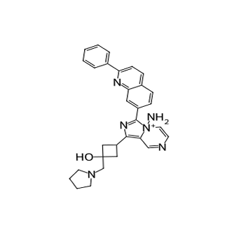 N[N+]12C=CN=CC1=C(C1CC(O)(CN3CCCC3)C1)N=C2c1ccc2ccc(-c3ccccc3)nc2c1